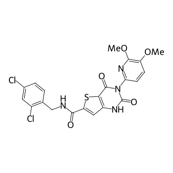 COc1ccc(-n2c(=O)[nH]c3cc(C(=O)NCc4ccc(Cl)cc4Cl)sc3c2=O)nc1OC